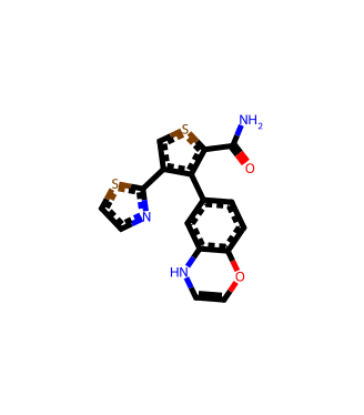 NC(=O)c1scc(-c2nccs2)c1-c1ccc2c(c1)NC=CO2